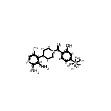 Nc1ncc(F)c(C2CCN(C(=O)c3ccc(S(F)(F)(F)(F)F)cc3O)CC2)c1N